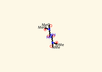 CNC(=O)CCN(CCCCC1NC(=O)C(CCCCN(CCC(=O)OC)CCC(=O)OC)NC1=O)CCC(=O)OC